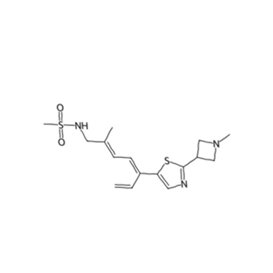 C=C/C(=C\C=C(/C)CNS(C)(=O)=O)c1cnc(C2CN(C)C2)s1